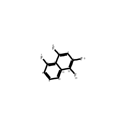 Fc1cc(F)c2c(F)cccc2c1F